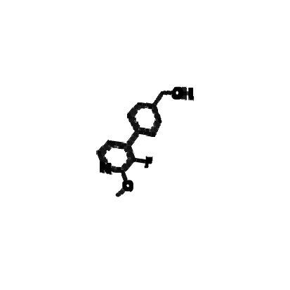 COc1nccc(-c2ccc(CO)cc2)c1F